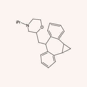 CC(C)N1CCOC(CC2c3ccccc3C3CC3c3ccccc32)C1